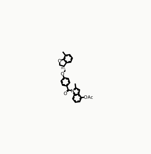 CC(=O)Oc1cccc2c1cc(C)n2C(=O)c1ccc(OC[C@@H]2COc3c(C)cccc32)cc1